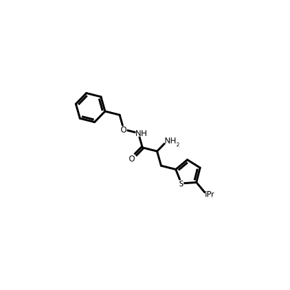 CC(C)c1ccc(CC(N)C(=O)NOCc2ccccc2)s1